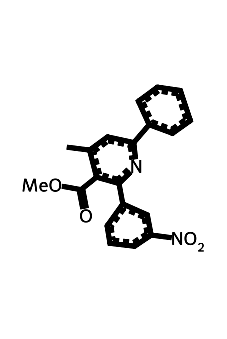 COC(=O)c1c(C)cc(-c2ccccc2)nc1-c1cccc([N+](=O)[O-])c1